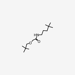 CC(C)(C)CCCNC(=O)COCC(C)(C)C